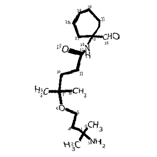 CC(C)(N)CCOC(C)(C)CCC(=O)NC1(C=O)CCCCC1